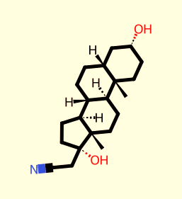 C[C@]12CC[C@@H](O)C[C@H]1CC[C@@H]1[C@@H]2CC[C@@]2(C)[C@H]1CC[C@]2(O)CC#N